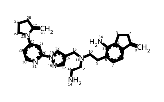 C=C1CCc2c1ccc(CCN(CCN)Cc1cnn(-c3cc(N4CCCC4=C)ccn3)c1)c2N